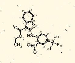 CCOC(=O)c1c(Nc2ccc(C(F)(F)F)cc2[N+](=O)[O-])sc2ccccc12